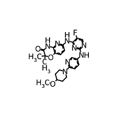 COC1CCN(c2ccc(Nc3ncc(F)c(Nc4ccc5c(n4)NC(=O)C(C)(C)O5)n3)cn2)CC1